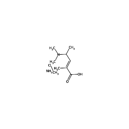 CC(=CC(C)N(C)C)C(=O)O.CCl.N